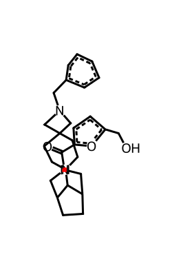 O=C(c1ccc(CO)o1)N1CC2CCC(C1)C2N1CCC2(CC1)CN(Cc1ccccc1)C2